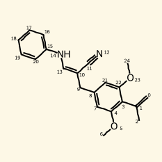 C=C(C)c1c(OC)cc(CC(C#N)=CNc2ccccc2)cc1OC